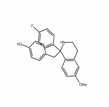 COc1ccc2c(c1)CCNC2(Cc1ccc(O)cc1)c1ccc(F)cc1